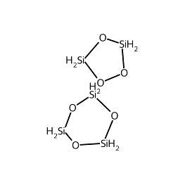 O1O[SiH2]O[SiH2]1.O1[SiH2]O[SiH2]O[SiH2]1